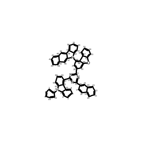 c1ccc(-n2c3ccccc3c3c(-c4nc(-c5ccc6ccccc6c5)nc(-c5cc(-n6c7ccccc7c7cc8ccccc8cc76)c6c(c5)oc5ccccc56)n4)cccc32)cc1